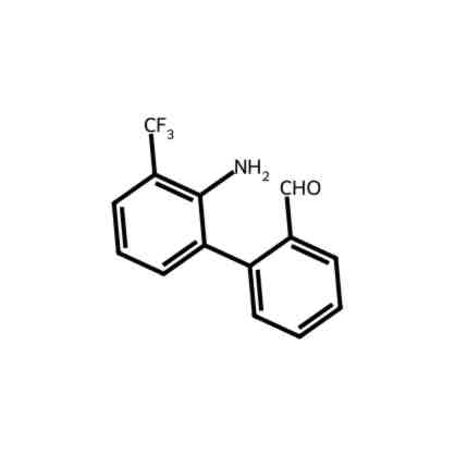 Nc1c(-c2ccccc2C=O)cccc1C(F)(F)F